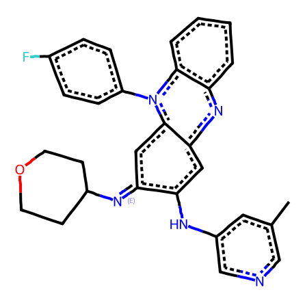 Cc1cncc(Nc2cc3nc4ccccc4n(-c4ccc(F)cc4)c-3c/c2=N\C2CCOCC2)c1